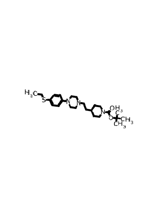 CCSc1ccc(N2CCN(CCC3CCN(C(=O)OC(C)(C)C)CC3)CC2)cc1